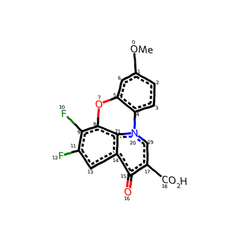 COc1ccc2c(c1)Oc1c(F)c(F)cc3c(=O)c(C(=O)O)cn-2c13